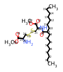 CCCCCCCCCC(CCCCCCC)C(=O)N[C@@H](CSSCC(N)C(=O)OC)C(=O)OC